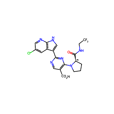 O=C(O)c1cnc(-c2c[nH]c3ncc(Cl)cc23)nc1N1CCC[C@@H]1C(=O)NCC(F)(F)F